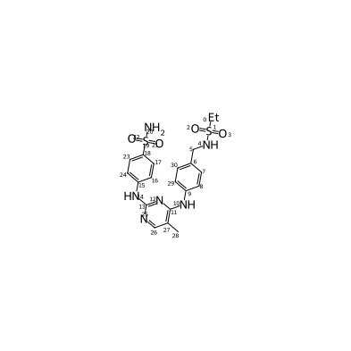 CCS(=O)(=O)NCc1ccc(Nc2nc(Nc3ccc(S(N)(=O)=O)cc3)ncc2C)cc1